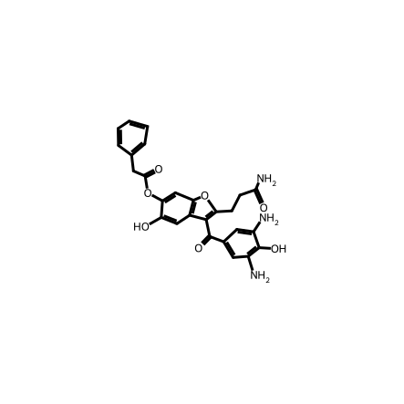 NC(=O)CCc1oc2cc(OC(=O)Cc3ccccc3)c(O)cc2c1C(=O)c1cc(N)c(O)c(N)c1